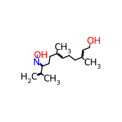 C=C(C)C(CCC(C)=CCCC(C)=CCO)=NO